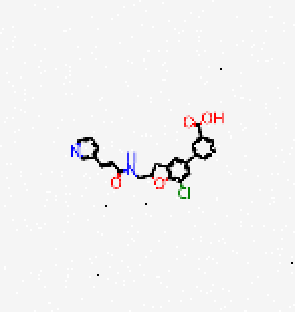 O=C(C=Cc1cccnc1)NCC1Cc2cc(-c3cccc(C(=O)O)c3)cc(Cl)c2O1